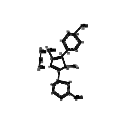 CCCCCCCCc1cccc(C2=CC(CCCCCC)=C(c3ccc(CCCC)cc3)[N+]2=[N-])c1.CCC[CH2][Ni][CH2]CCC